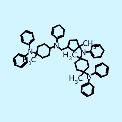 CC1(N(c2ccccc2)c2ccccc2)CCC(N(CC2CCC(C)(N(C3=CCCC=C3)C3(C)CCC(C)(N(c4ccccc4)c4ccccc4)CC3)C2)C2=CCCC=C2)CC1